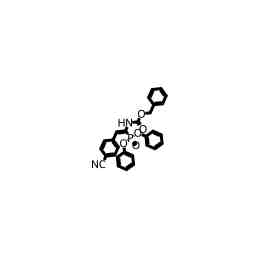 N#Cc1ccc(/C=C(/NC(=O)OCc2ccccc2)P(=O)(Oc2ccccc2)Oc2ccccc2)cc1